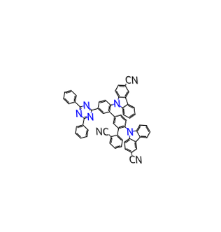 N#Cc1ccc2c(c1)c1ccccc1n2-c1ccc(-c2nc(-c3ccccc3)nc(-c3ccccc3)n2)cc1-c1ccc(-n2c3ccccc3c3cc(C#N)ccc32)c(-c2ccccc2C#N)c1